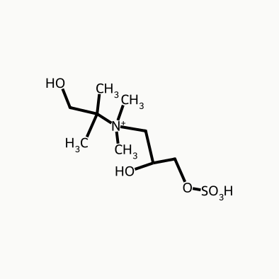 CC(C)(CO)[N+](C)(C)CC(O)COS(=O)(=O)O